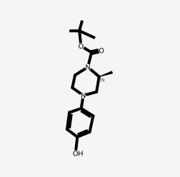 C[C@H]1CN(c2ccc(O)cc2)CCN1C(=O)OC(C)(C)C